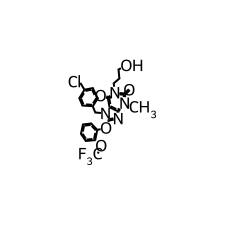 Cn1c(=O)n(CCCO)c(=O)c2c1nc(Oc1ccccc1OC(F)(F)F)n2Cc1ccc(Cl)cc1